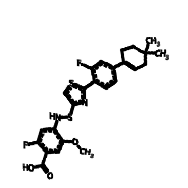 COc1cc(C(=O)O)c(F)cc1NSc1csc(-c2ccc(C3=CCC(C)(C)CC3)cc2F)n1